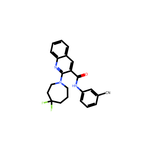 N#Cc1cccc(NC(=O)c2cc3ccccc3nc2N2CCCC(F)(F)CC2)c1